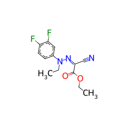 CCOC(=O)C(C#N)=NN(CC)c1ccc(F)c(F)c1